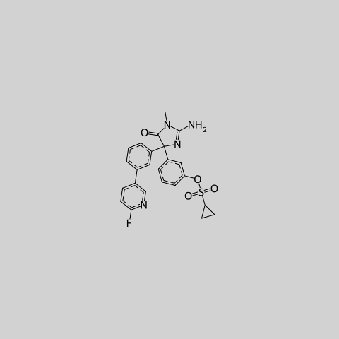 CN1C(=O)C(c2cccc(OS(=O)(=O)C3CC3)c2)(c2cccc(-c3ccc(F)nc3)c2)N=C1N